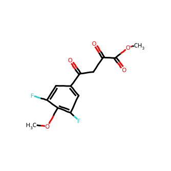 COC(=O)C(=O)CC(=O)c1cc(F)c(OC)c(F)c1